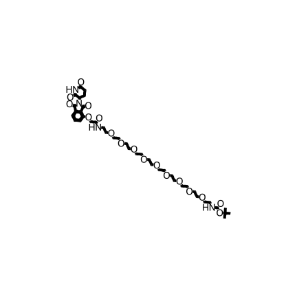 CC(C)(C)OC(=O)NCCOCCOCCOCCOCCOCCOCCOCCOCCOCCNC(=O)COc1cccc2c1C(=O)N(C1CCC(=O)NC1=O)C2=O